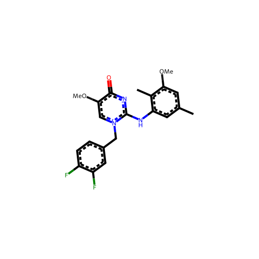 COc1cc(C)cc(Nc2nc(=O)c(OC)cn2Cc2ccc(F)c(F)c2)c1C